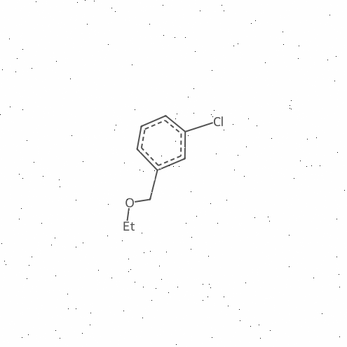 CCOCc1cccc(Cl)c1